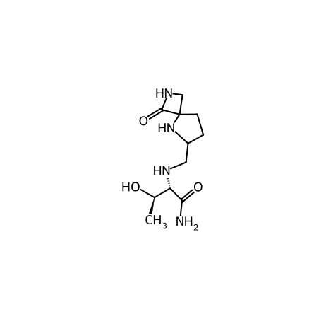 C[C@@H](O)[C@H](NCC1CCC2(CNC2=O)N1)C(N)=O